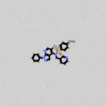 CCOC(=O)c1cnc2c(cnn2-c2ccccc2)c1N(Cc1cccnc1)S(=O)(=O)c1ccc(OC)cc1